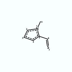 Cn1cccc1C=S